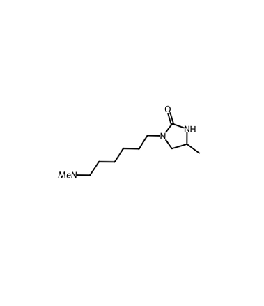 CNCCCCCCN1CC(C)NC1=O